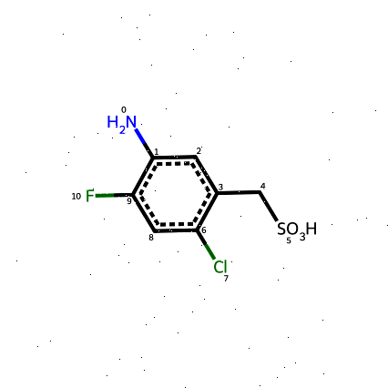 Nc1cc(CS(=O)(=O)O)c(Cl)cc1F